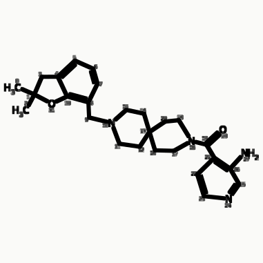 CC1(C)Cc2cccc(CN3CCC4(CC3)CCN(C(=O)c3ccncc3N)CC4)c2O1